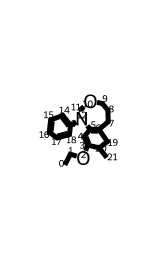 CCOC1=CC2=C(CCCOCN2c2ccccc2)CC1C